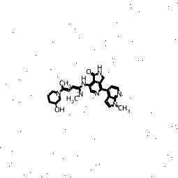 C=N/C(=C\C=C(/C)N1CCC[C@H](O)C1)Nc1cnc(-c2ccnc3c2ccn3C)c2c1C(=O)NC2